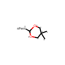 CCCCCC1OCC(C)(C)CO1